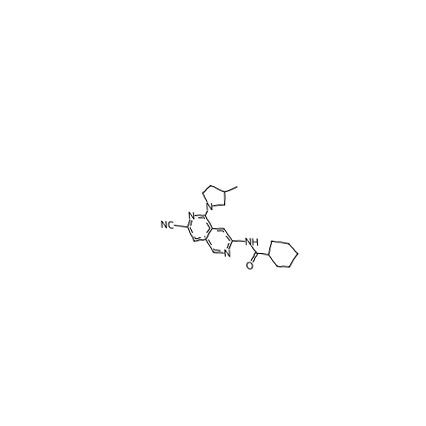 CC1CCN(c2nc(C#N)cc3cnc(NC(=O)C4CCCCC4)cc23)C1